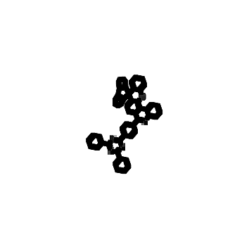 c1ccc(-c2nc(-c3ccccc3)nc(-c3ccc(-c4nc5ccccc5c5c6c(ccc45)C4(c5ccccc5O6)c5ccccc5-c5ccccc54)cc3)n2)cc1